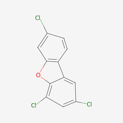 Clc1ccc2c(c1)oc1c(Cl)cc(Cl)cc12